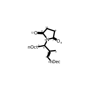 CCCCCCCCCC/C=C(\C)C(CCCCCCCC)N1C(=O)CCC1=O